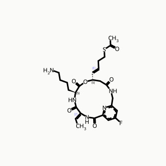 C/C=C1\NC(=O)c2cc(F)cc(n2)CNC(=O)C[C@@H](/C=C/CCSC(C)=O)OC(=O)[C@H](CCCCN)NC1=O